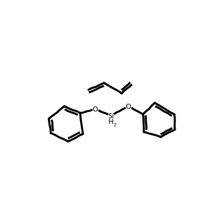 C=CC=C.c1ccc(O[SiH2]Oc2ccccc2)cc1